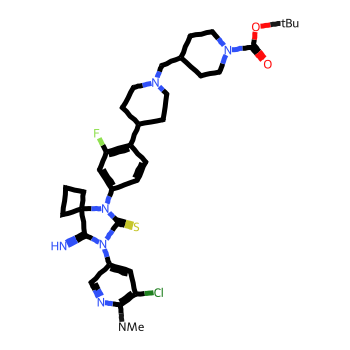 CNc1ncc(N2C(=N)C3(CCC3)N(c3ccc(C4CCN(CC5CCN(C(=O)OC(C)(C)C)CC5)CC4)c(F)c3)C2=S)cc1Cl